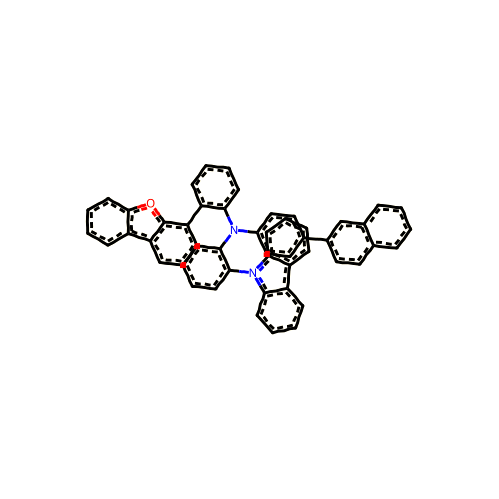 c1ccc(N(c2ccc(-c3ccc4ccccc4c3)cc2)c2ccccc2-n2c3ccccc3c3ccccc32)c(-c2cccc3c2oc2ccccc23)c1